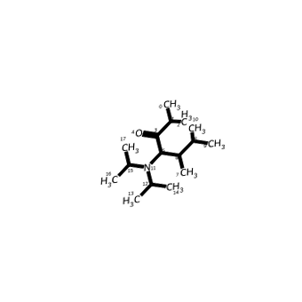 CC(C)C(=O)C(C(C)C(C)C)N(C(C)C)C(C)C